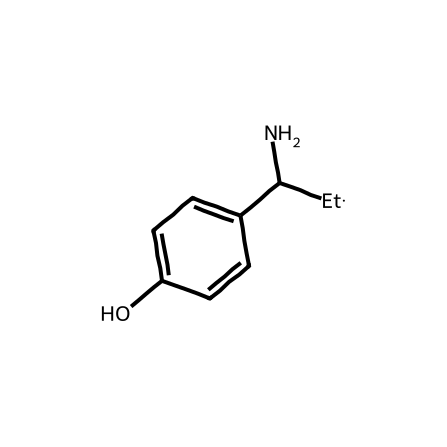 C[CH]C(N)c1ccc(O)cc1